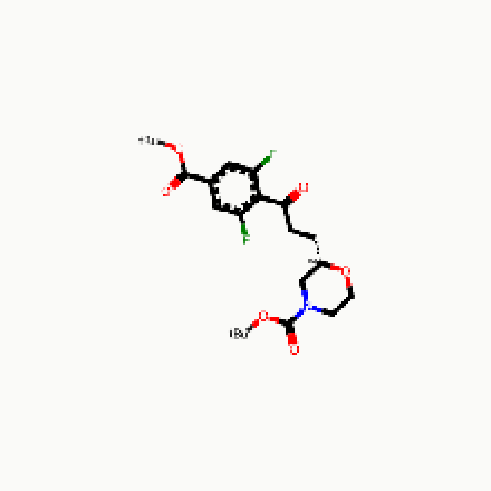 CC(C)(C)OC(=O)c1cc(F)c(C(=O)CC[C@H]2CN(C(=O)OC(C)(C)C)CCO2)c(F)c1